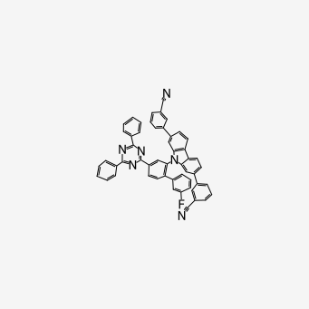 N#Cc1cccc(-c2ccc3c4ccc(-c5cccc(C#N)c5)cc4n(-c4cc(-c5nc(-c6ccccc6)nc(-c6ccccc6)n5)ccc4-c4cccc(F)c4)c3c2)c1